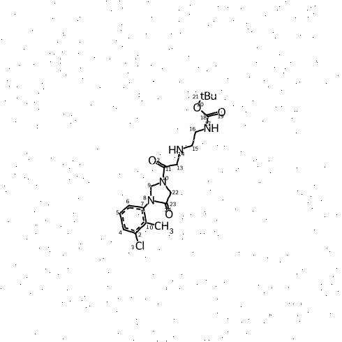 Cc1c(Cl)cccc1N1CN(C(=O)CNCCNC(=O)OC(C)(C)C)CC1=O